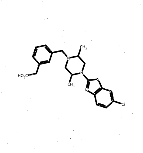 CC1CN(c2nc3ccc(Cl)cc3s2)C(C)CN1Cc1cccc(CC(=O)O)c1